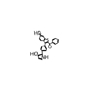 O=C(c1ccccc1)c1sc2cc(O)ccc2c1-c1ccc(-c2[nH]ccc2O)cc1